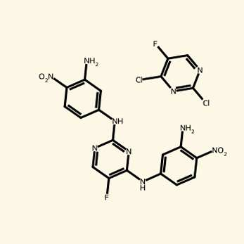 Fc1cnc(Cl)nc1Cl.Nc1cc(Nc2ncc(F)c(Nc3ccc([N+](=O)[O-])c(N)c3)n2)ccc1[N+](=O)[O-]